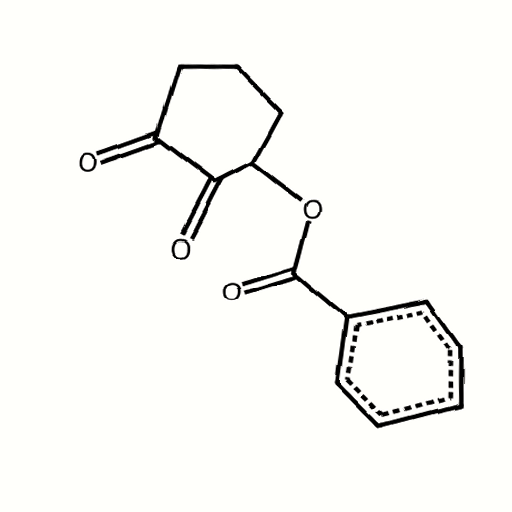 O=C1CCCC(OC(=O)c2ccccc2)C1=O